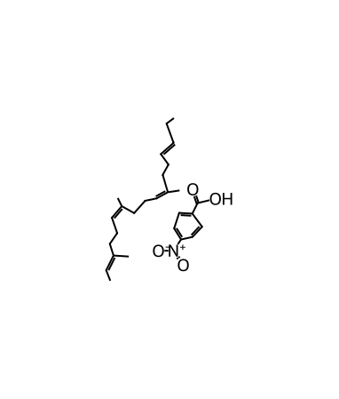 C/C=C(\C)CC/C=C(/C)CC/C=C(/C)CCC=CCC.O=C(O)c1ccc([N+](=O)[O-])cc1